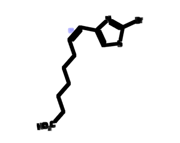 O=C(O)CCCCC/C=C\c1csc(Br)n1